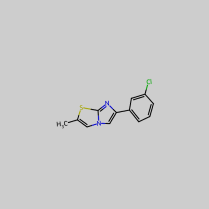 Cc1cn2cc(-c3cccc(Cl)c3)nc2s1